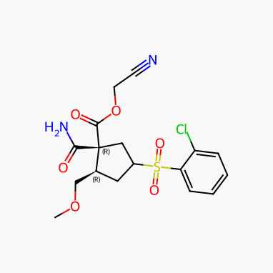 COC[C@@H]1CC(S(=O)(=O)c2ccccc2Cl)C[C@@]1(C(N)=O)C(=O)OCC#N